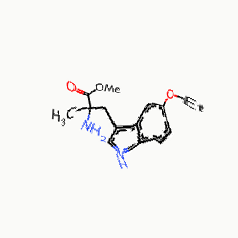 CCOc1ccc2[nH]cc(CC(C)(N)C(=O)OC)c2c1